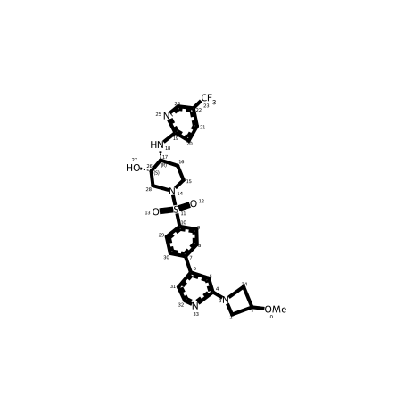 COC1CN(c2cc(-c3ccc(S(=O)(=O)N4CC[C@@H](Nc5ccc(C(F)(F)F)cn5)[C@@H](O)C4)cc3)ccn2)C1